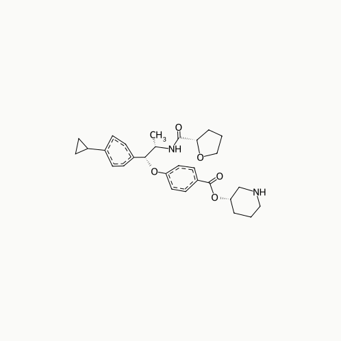 C[C@H](NC(=O)[C@@H]1CCCO1)[C@H](Oc1ccc(C(=O)O[C@H]2CCCNC2)cc1)c1ccc(C2CC2)cc1